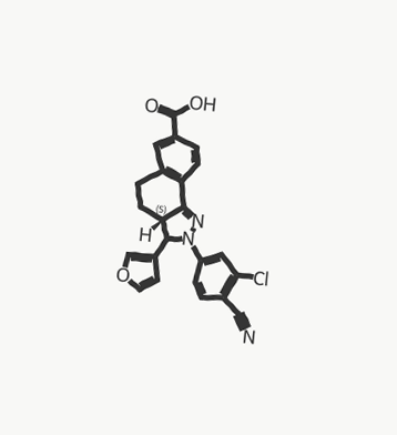 N#Cc1ccc(N2N=C3c4ccc(C(=O)O)cc4CC[C@H]3C2c2ccoc2)cc1Cl